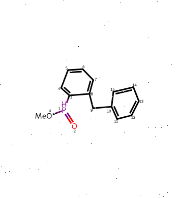 CO[PH](=O)c1ccccc1Cc1ccccc1